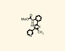 COC(=O)Nc1ccccc1-c1nc(C)c(-c2cccnc2)[nH]1